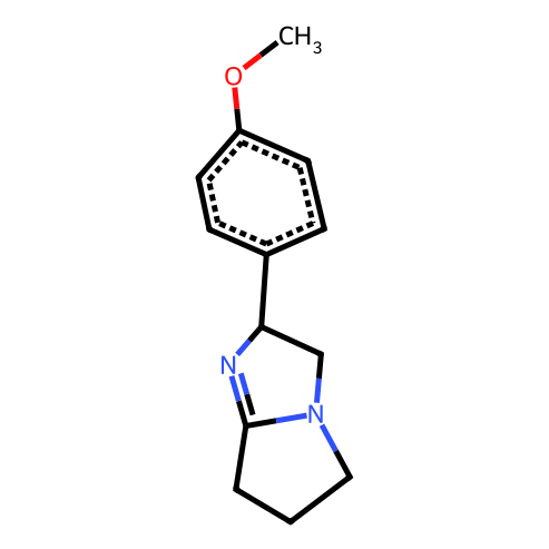 COc1ccc(C2CN3CCCC3=N2)cc1